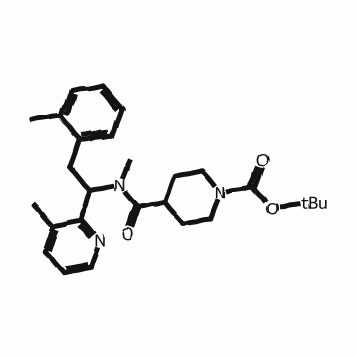 Cc1ccccc1CC(c1ncccc1C)N(C)C(=O)C1CCN(C(=O)OC(C)(C)C)CC1